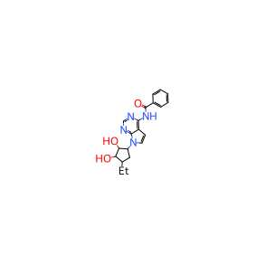 CCC1CC(n2ccc3c(NC(=O)c4ccccc4)ncnc32)C(O)C1O